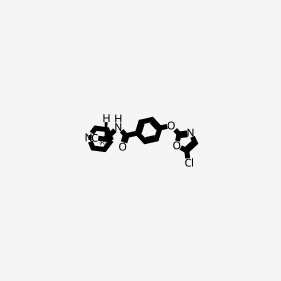 O=C(N[C@H]1CN2CCC1CC2)c1ccc(Oc2ncc(Cl)o2)cc1